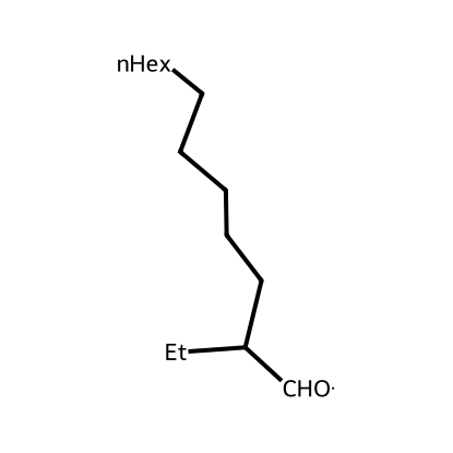 CCCCCCCCCCCC([C]=O)CC